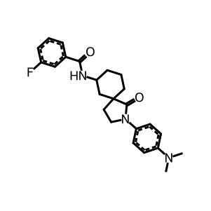 CN(C)c1ccc(N2CCC3(CCCC(NC(=O)c4cccc(F)c4)C3)C2=O)cc1